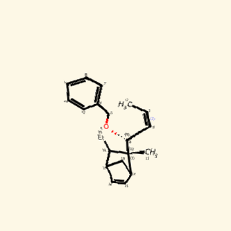 C/C=C\[C@@H](OCc1ccccc1)[C@]1(C)C2C=CC(C2)C1CC